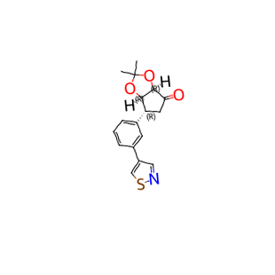 CC1(C)O[C@@H]2[C@@H](c3cccc(-c4cnsc4)c3)CC(=O)[C@@H]2O1